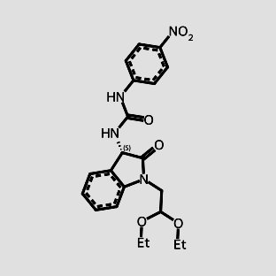 CCOC(CN1C(=O)[C@@H](NC(=O)Nc2ccc([N+](=O)[O-])cc2)c2ccccc21)OCC